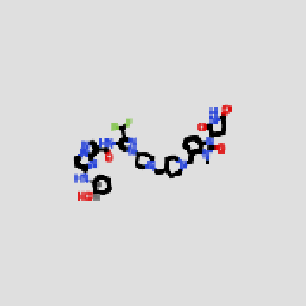 Cn1c(=O)n(C2CCC(=O)NC2=O)c2cccc(CN3CCC(CN4CCC(n5cc(NC(=O)c6cnn7ccc(N[C@@H]8CCCC[C@@H]8O)nc67)c(C(F)F)n5)CC4)CC3)c21